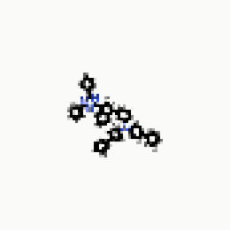 c1ccc(-c2ccc(N(c3ccc(-c4ccccc4)cc3)c3cccc(-c4ccc(-c5nc(-c6ccccc6)nc(-c6ccccc6)n5)c5ccccc45)c3)cc2)cc1